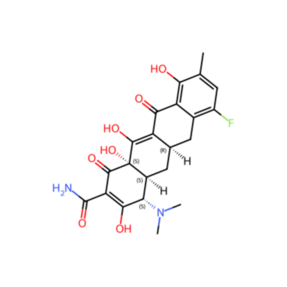 Cc1cc(F)c2c(c1O)C(=O)C1=C(O)[C@]3(O)C(=O)C(C(N)=O)=C(O)[C@@H](N(C)C)[C@@H]3C[C@@H]1C2